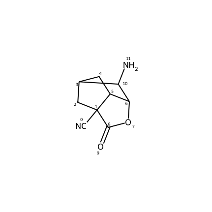 N#CC12CC3CC1C(OC2=O)C3N